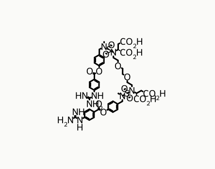 CN(Cc1ccc(OC(=O)c2ccc(NC(=N)N)cc2)cc1)S(=O)(=O)N(CCOCCOCCN([C@@H](CC(=O)O)C(=O)O)S(=O)(=O)N(C)Cc1ccc(OC(=O)c2ccc(NC(=N)N)cc2)cc1)[C@@H](CC(=O)O)C(=O)O